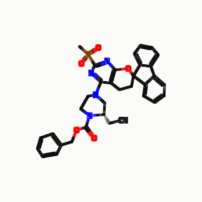 CS(=O)(=O)c1nc2c(c(N3CCN(C(=O)OCc4ccccc4)[C@@H](CC#N)C3)n1)CCC1(O2)c2ccccc2-c2ccccc21